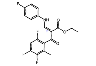 CCOC(=O)/C(=C\Nc1ccc(F)cc1)C(=O)c1c(F)cc(F)c(F)c1C